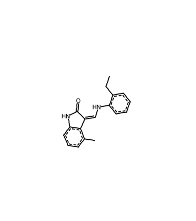 CCc1ccccc1NC=C1C(=O)Nc2cccc(C)c21